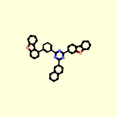 C1=C(c2nc(-c3ccc4ccccc4c3)nc(-c3ccc4c(c3)oc3ccccc34)n2)C=C(c2cccc3oc4ccccc4c23)CC1